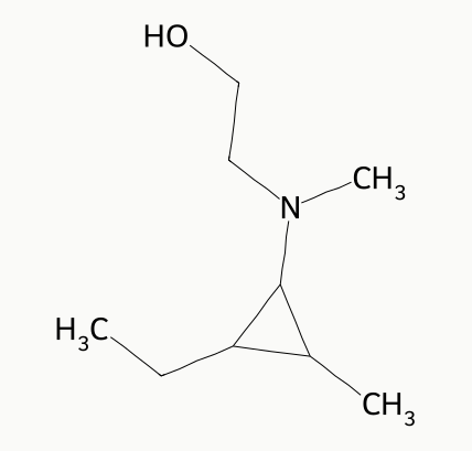 CCC1C(C)C1N(C)CCO